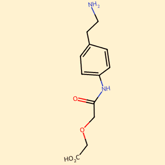 NCCc1ccc(NC(=O)COCC(=O)O)cc1